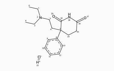 CCN(CC)CCC1(c2ccccc2)CCC(=O)NC1=O.[Cl-].[H+]